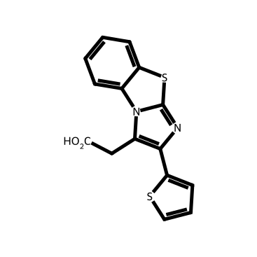 O=C(O)Cc1c(-c2cccs2)nc2sc3ccccc3n12